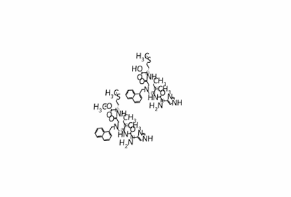 CC[C@H](C)[C@@H](CN(CC(=O)N[C@@H](CCSC)C(=O)O)Cc1cccc2ccccc12)NC(=O)[C@H](N)c1c[nH]cn1.CC[C@H](C)[C@@H](CN(CC(=O)N[C@@H](CCSC)C(=O)OC)Cc1cccc2ccccc12)NC(=O)[C@H](N)c1c[nH]cn1